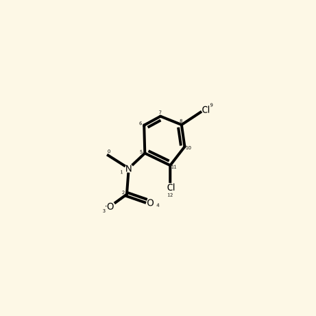 CN(C([O])=O)c1ccc(Cl)cc1Cl